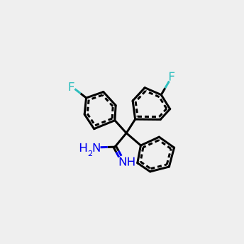 N=C(N)C(c1ccccc1)(c1ccc(F)cc1)c1ccc(F)cc1